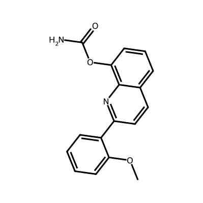 COc1ccccc1-c1ccc2cccc(OC(N)=O)c2n1